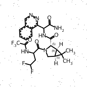 CC1(C)[C@@H]2[C@@H](C(=O)NC(C(N)=O)c3nncc4ccccc34)N(C(=O)C(CC(F)F)NC(=O)C(F)(F)F)C[C@@H]21